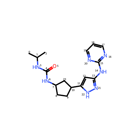 CC(C)NC(=O)NC1CCC(c2cc(Nc3ncccn3)n[nH]2)C1